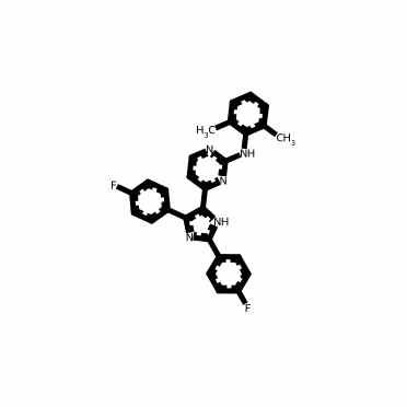 Cc1cccc(C)c1Nc1nccc(-c2[nH]c(-c3ccc(F)cc3)nc2-c2ccc(F)cc2)n1